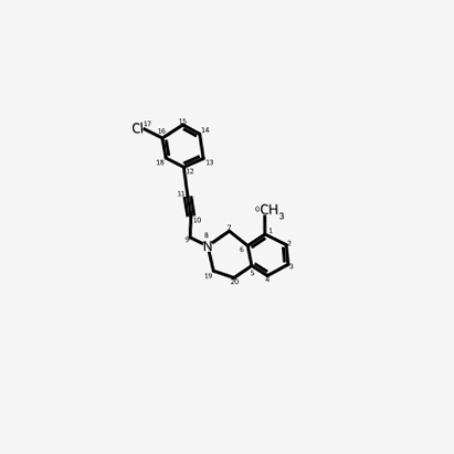 Cc1cccc2c1CN(CC#Cc1cccc(Cl)c1)CC2